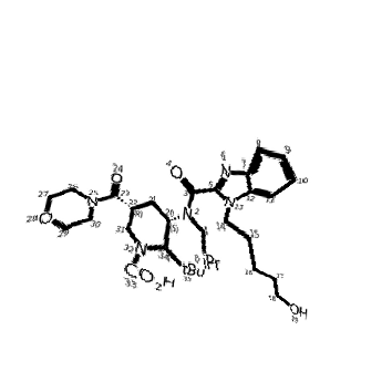 CC(C)CN(C(=O)c1nc2ccccc2n1CCCCCO)[C@H]1C[C@@H](C(=O)N2CCOCC2)CN(C(=O)O)C1C(C)(C)C